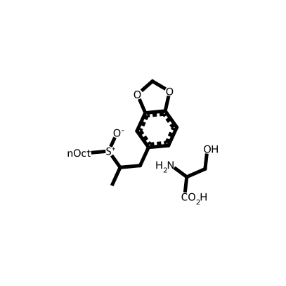 CCCCCCCC[S+]([O-])C(C)Cc1ccc2c(c1)OCO2.NC(CO)C(=O)O